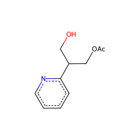 CC(=O)OCC(CO)c1ccccn1